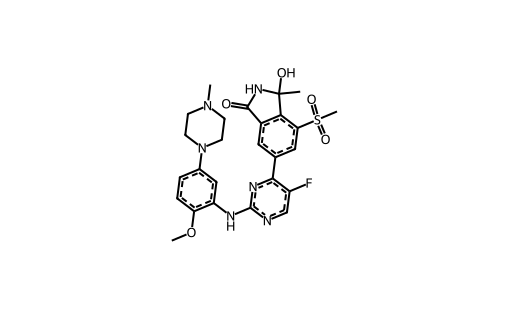 COc1ccc(N2CCN(C)CC2)cc1Nc1ncc(F)c(-c2cc3c(c(S(C)(=O)=O)c2)C(C)(O)NC3=O)n1